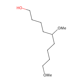 COCCCCC(CCCCO)OC